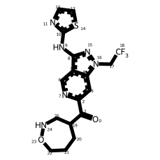 O=C(c1cc2c(cn1)c(Nc1nccs1)nn2CC(F)(F)F)C1CCCONC1